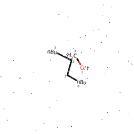 [CH2]CCCCCCCCC.[CH2]O